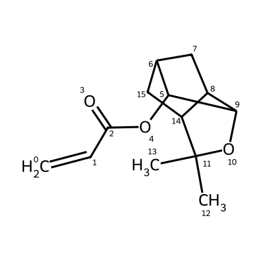 C=CC(=O)OC1C2CC3C1OC(C)(C)C3C2